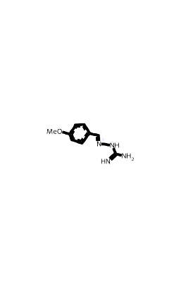 COc1ccc(/C=N/NC(=N)N)cc1